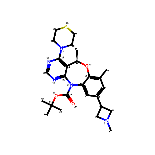 Cc1cc(C2CN(C)C2)cc2c1O[C@H](C)c1c(N3CCSCC3)ncnc1N2C(=O)OC(C)(C)C